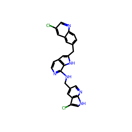 Clc1cnc2ccc(Cc3cc4ccnc(NCc5cnc6[nH]cc(Cl)c6c5)c4[nH]3)cc2c1